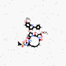 COC(=O)CC1NC(=O)CCCC=CC2C[C@@]2(C(=O)NS(=O)(=O)C2CC2)NC(=O)[C@@H]2C[C@@H](Oc3cc(-c4ccccc4)nc4cc(OC)ccc34)CN2C1=O